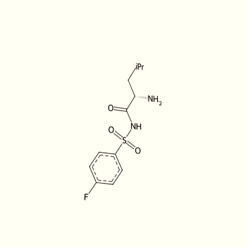 CC(C)C[C@H](N)C(=O)NS(=O)(=O)c1ccc(F)cc1